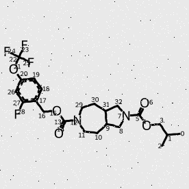 CC(C)COC(=O)N1CC2CCN(C(=O)OCc3ccc(OC(F)(F)F)cc3F)CCC2C1